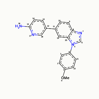 COc1ccc(-n2cnc3ccc(-c4ccc(N)nc4)cc32)cc1